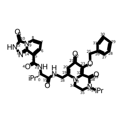 CC(C)[C@H](NC(=O)c1cccn2c(=O)[nH]nc12)C(=O)NCc1cc(=O)c(OCc2ccccc2)c2n1CCN(C(C)C)C2=O